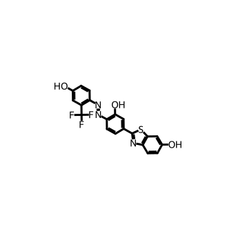 Oc1ccc(N=Nc2ccc(-c3nc4ccc(O)cc4s3)cc2O)c(C(F)(F)F)c1